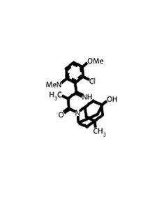 CNc1ccc(OC)c(Cl)c1C(=N)C(C)C(=O)N1C2CC3(C)CC1CC(O)(C2)C3